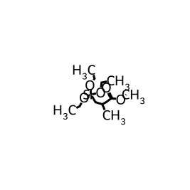 CCO[Si](CC(C)C(=O)OC)(OCC)OCC